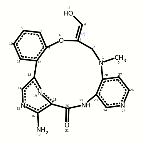 CN1C/C(=C/O)Oc2ccccc2-c2cnc(N)c(n2)C(=O)Nc2cnccc21